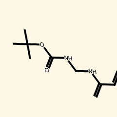 C=CC(=C)NCNC(=O)OC(C)(C)C